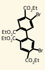 CCOC(=O)c1cc(C(=O)OCC)c(-c2cc(Br)c(C(=O)OCC)cc2C(=O)OCC)cc1Br